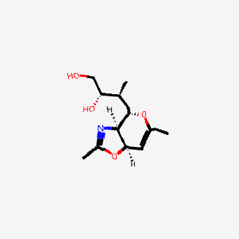 CC1=C[C@H]2OC(C)=N[C@H]2[C@H]([C@H](C)[C@H](O)CO)O1